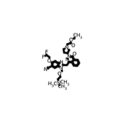 CCOC(=O)CN1CCC(n2nc(Cc3nc4cc(OCC(F)F)c(C#N)cc4n3COCC[Si](C)(C)C)c3ccccc3c2=O)C1